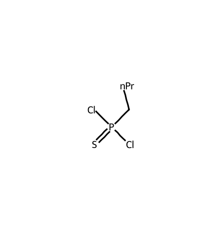 CCCCP(=S)(Cl)Cl